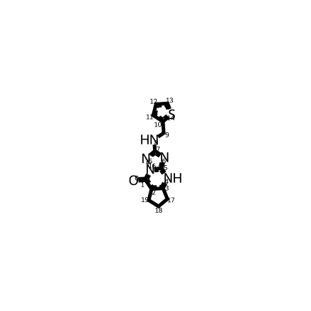 O=c1c2c([nH]c3nc(NCc4cccs4)nn13)CCC2